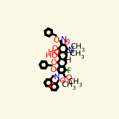 COC(OC)c1c(F)c2c(c(OCc3ccccc3)c1N(Cc1ccccc1)Cc1ccccc1)C(=O)C1=C(O)[C@]3(O)C(=O)c4c(OCc5ccccc5)noc4[C@@H](N(C)C)[C@@H]3C[C@@H]1C2